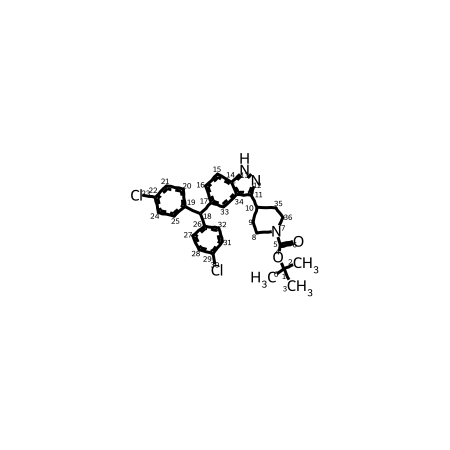 CC(C)(C)OC(=O)N1CCC(c2n[nH]c3ccc(C(c4ccc(Cl)cc4)c4ccc(Cl)cc4)cc23)CC1